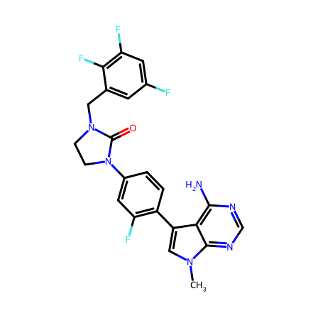 Cn1cc(-c2ccc(N3CCN(Cc4cc(F)cc(F)c4F)C3=O)cc2F)c2c(N)ncnc21